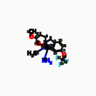 COC1CCC2(CC1)Cc1ccc(OC(F)(F)F)cc1C21N=C(N)N(C)C1=O